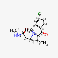 CNC(=O)Cc1cc(C)c(C(=O)c2ccc(Cl)cc2)n1C